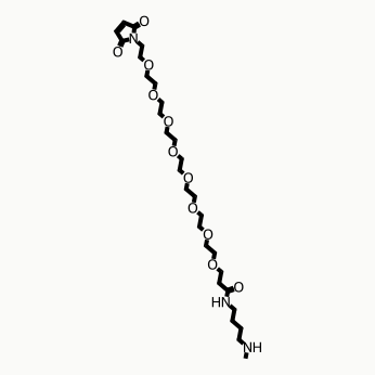 CNCCCCNC(=O)CCOCCOCCOCCOCCOCCOCCOCCOCCN1C(=O)C=CC1=O